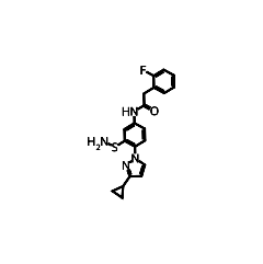 NSc1cc(NC(=O)Cc2ccccc2F)ccc1-n1ccc(C2CC2)n1